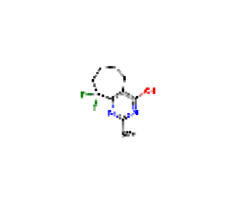 CSc1nc(O)c2c(n1)C(F)(F)CCCC2